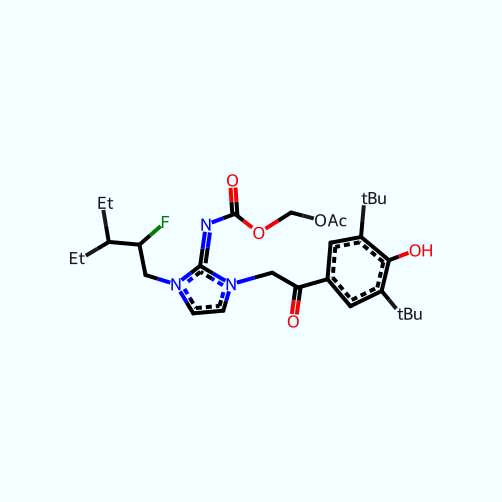 CCC(CC)C(F)Cn1ccn(CC(=O)c2cc(C(C)(C)C)c(O)c(C(C)(C)C)c2)c1=NC(=O)OCOC(C)=O